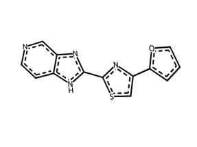 c1coc(-c2csc(-c3nc4cnccc4[nH]3)n2)c1